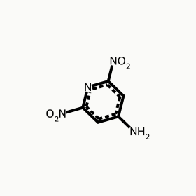 Nc1cc([N+](=O)[O-])nc([N+](=O)[O-])c1